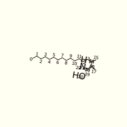 CCCCCCCCCCCCCC[C@@H](C)[C@@H](C)[C@H](CO)NC